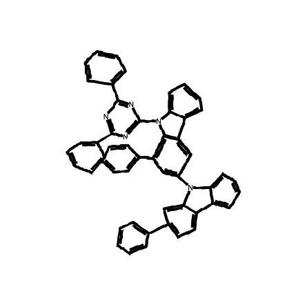 c1ccc(-c2ccc3c4ccccc4n(-c4cc(-c5ccccc5)c5c(c4)c4ccccc4n5-c4nc(-c5ccccc5)nc(-c5ccccc5)n4)c3c2)cc1